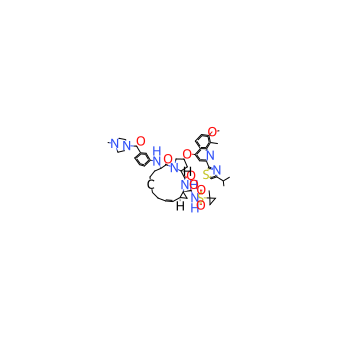 COc1ccc2c(O[C@@H]3C[C@H]4C(=O)N[C@]5(C(=O)NS(=O)(=O)C6(C)CC6)C[C@H]5/C=C\CCCCC[C@H](Nc5cccc(C(=O)N6CCN(C)CC6)c5)C(=O)N4C3)cc(-c3nc(C(C)C)cs3)nc2c1C